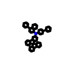 c1ccc(-c2ccc(N(c3ccc4c(c3)-c3ccccc3C43c4ccccc4-c4ccccc43)c3ccc(-c4ccccc4)c4ccccc34)cc2)cc1